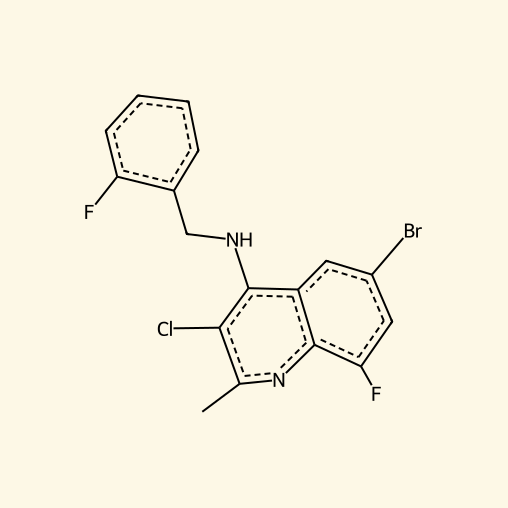 Cc1nc2c(F)cc(Br)cc2c(NCc2ccccc2F)c1Cl